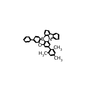 Cc1cc(C)c(-c2cc3c4c(c2)-n2c5ccccc5c5cccc(c52)B4c2ccc(-c4ccccc4)cc2O3)c(C)c1